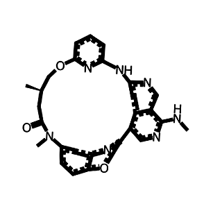 CNc1ncc2c3cc(ncc13)Nc1cccc(n1)OC[C@H](C)CC(=O)N(C)c1ccc3oc-2nc3c1